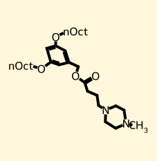 CCCCCCCCOc1cc(COC(=O)CCCN2CCN(C)CC2)cc(OCCCCCCCC)c1